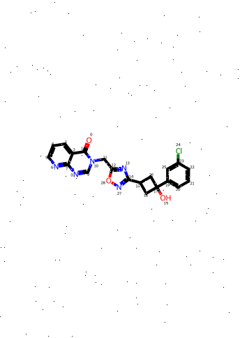 O=c1c2cccnc2ncn1Cc1nc(C2CC(O)(c3cccc(Cl)c3)C2)no1